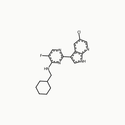 Fc1cnc(-c2c[nH]c3ncc(Cl)cc23)nc1NCC1CCCCC1